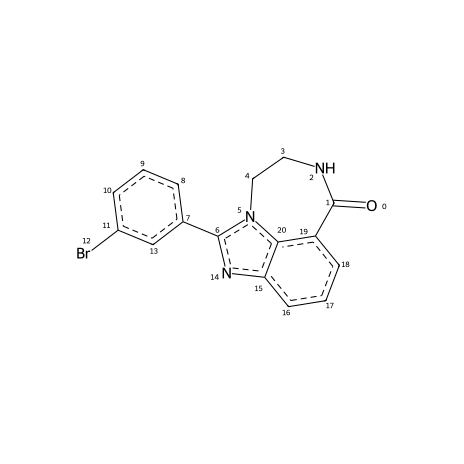 O=C1NCCn2c(-c3cccc(Br)c3)nc3cccc1c32